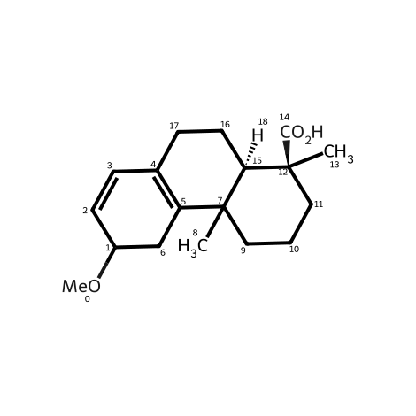 COC1C=CC2=C(C1)C1(C)CCC[C@](C)(C(=O)O)[C@@H]1CC2